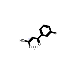 O=C(O)/C(O)=C\C(=O)c1cccc(F)c1